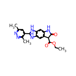 CCOC(=O)C1C(=O)Nc2cc3c(cc21)NC(c1cc(C)nnc1C)N3